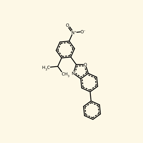 CC(C)c1ccc([N+](=O)[O-])cc1-c1nc2cc(-c3ccccc3)ccc2o1